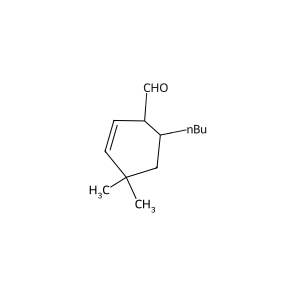 CCCCC1CC(C)(C)C=CC1C=O